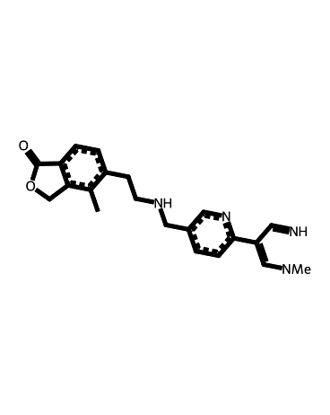 CN/C=C(\C=N)c1ccc(CNCCc2ccc3c(c2C)COC3=O)cn1